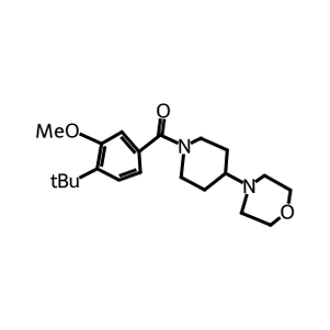 COc1cc(C(=O)N2CCC(N3CCOCC3)CC2)ccc1C(C)(C)C